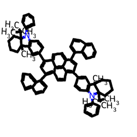 CC(C)(C)C12CCCCC1(C)c1cc(-c3cc(-c4cccc5ccccc45)c4ccc5c(-c6ccc7c(c6)C6(C)CCCCC6(C(C)(C)C)N7c6ccccc6)cc(-c6cccc7ccccc67)c6ccc3c4c56)ccc1N2c1ccccc1